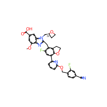 COc1cc(C(=O)O)cc2c1nc(Cc1c(F)cc(-c3cccc(OCc4ccc(C#N)cc4F)n3)c3c1CCO3)n2C[C@@H]1CCO1